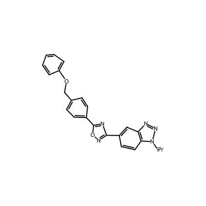 CC(C)n1nnc2cc(-c3noc(-c4ccc(COc5ccccc5)cc4)n3)ccc21